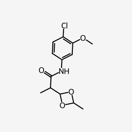 COc1cc(NC(=O)C(C)C2OC(C)O2)ccc1Cl